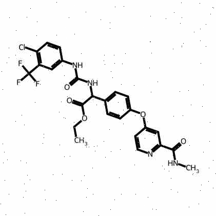 CCOC(=O)C(NC(=O)Nc1ccc(Cl)c(C(F)(F)F)c1)c1ccc(Oc2ccnc(C(=O)NC)c2)cc1